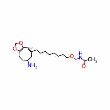 CC(=O)NCOCCCCCCCC/C1=C/C2=C(CCC(N)C1)OCO2